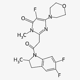 CC1Cc2cc(F)c(F)cc2N1C(=O)Cc1nc(N2CCOCC2)c(F)c(=O)n1C